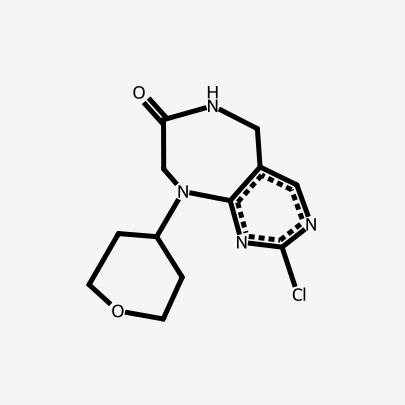 O=C1CN(C2CCOCC2)c2nc(Cl)ncc2CN1